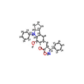 COc1cc(/C=C2\C(=O)ON=C2c2ccccc2)cc2c1N(c1ccccc1)C1CCCC21